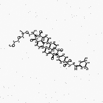 COCCOCC(C)OCC(C)N1C(=O)c2ccc3c4ccc5c6c(ccc(c7ccc(c2c37)C1=O)c64)C(=O)N(c1ccc(S(=O)(=O)CCNc2cc(C)cc(C)c2)cc1)C5=O